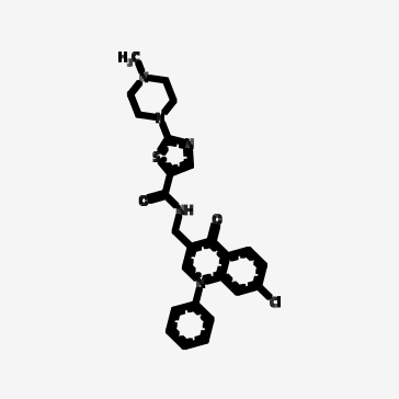 CN1CCN(c2ncc(C(=O)NCc3cn(-c4ccccc4)c4cc(Cl)ccc4c3=O)s2)CC1